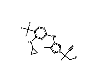 Cc1nn(C(C)(C#N)CF)cc1Nc1ncc(C(F)(F)F)c(NC2CC2)n1